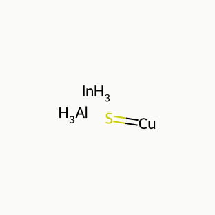 [AlH3].[InH3].[S]=[Cu]